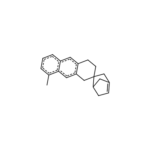 Cc1cccc2cc3c(cc12)CC1(CC3)CC2=CCC1C2